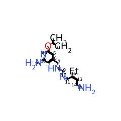 C=C(C)Oc1cc(CNC/N=C\C(=C/CN)CC)cc(N)n1